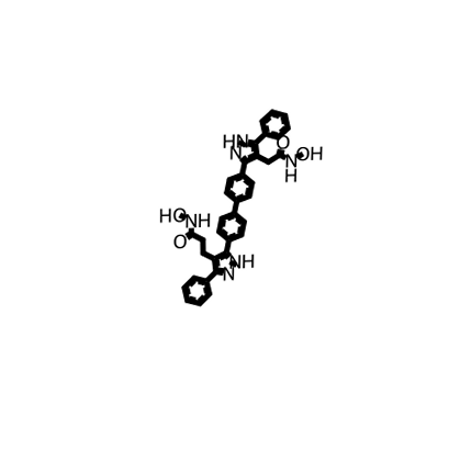 O=C(CCc1c(-c2ccccc2)n[nH]c1-c1ccc(-c2ccc(-c3n[nH]c(-c4ccccc4)c3CC(=O)NO)cc2)cc1)NO